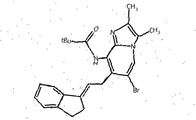 Cc1nc2c(NC(=O)C(C)(C)C)c(C/C=C3\CCc4ccccc43)c(Br)cn2c1C